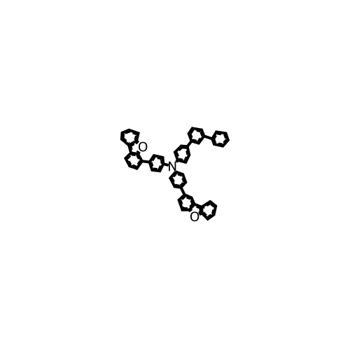 c1ccc(-c2cccc(-c3ccc(N(c4ccc(-c5ccc6oc7ccccc7c6c5)cc4)c4ccc(-c5cccc6c5oc5ccccc56)cc4)cc3)c2)cc1